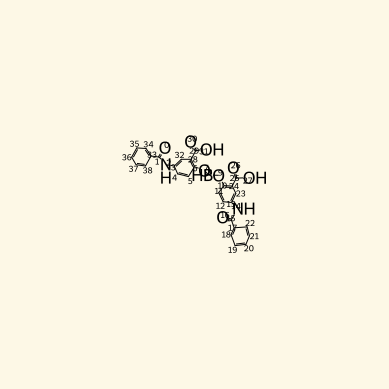 O=C(Nc1ccc(OBOc2ccc(NC(=O)c3ccccc3)cc2C(=O)O)c(C(=O)O)c1)c1ccccc1